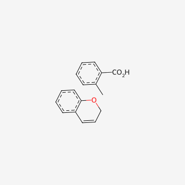 C1=Cc2ccccc2OC1.Cc1ccccc1C(=O)O